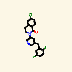 O=C1c2ccc(Cl)cc2CCN1c1cncc(Cc2cc(F)ccc2F)c1